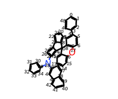 c1ccc(-c2ccc3c(c2)C2(c4ccccc4O3)c3ccccc3-c3ccc(N(c4ccccc4)c4ccc5ccccc5c4)cc32)cc1